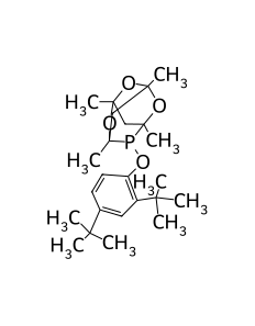 CC12CC3(C)OC(C)(CC(C)(O1)P3Oc1ccc(C(C)(C)C)cc1C(C)(C)C)O2